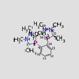 C[C@@H]1N(C)N(C)[C@@H](C)P1c1ccccc1P1[C@H](C)N(C)N(C)[C@H]1C